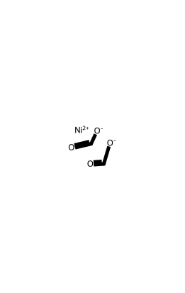 O=C[O-].O=C[O-].[Ni+2]